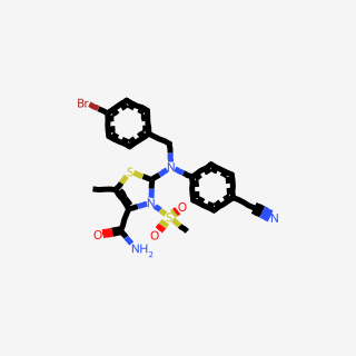 CC1=C(C(N)=O)N(S(C)(=O)=O)C(N(Cc2ccc(Br)cc2)c2ccc(C#N)cc2)S1